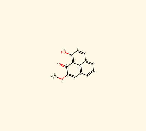 COC1=Cc2cccc3ccc(O)c(c23)C1=O